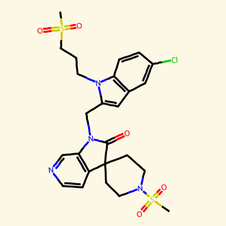 CS(=O)(=O)CCCn1c(CN2C(=O)C3(CCN(S(C)(=O)=O)CC3)c3ccncc32)cc2cc(Cl)ccc21